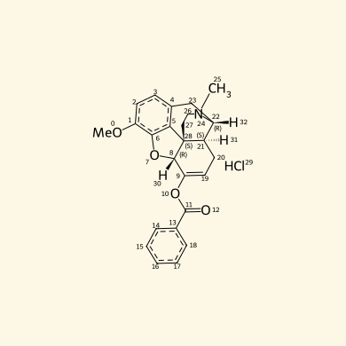 COc1ccc2c3c1O[C@H]1C(OC(=O)c4ccccc4)=CC[C@@H]4[C@@H](C2)N(C)CC[C@@]341.Cl